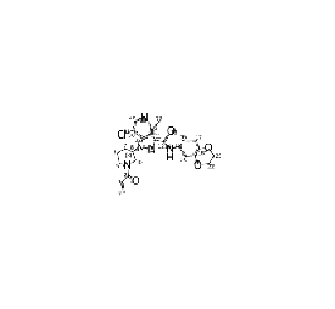 C=CC(=O)N1CCC[C@@H](n2nc(C(=O)Nc3ccc4c(c3)OCCO4)c3c(C)ncc(Cl)c32)C1